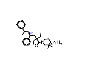 CCC(CC)(C/C(=C/C(C)c1ccccc1)c1ccccc1)C(=O)N1CC[C@H](N)C(C)(C)C1